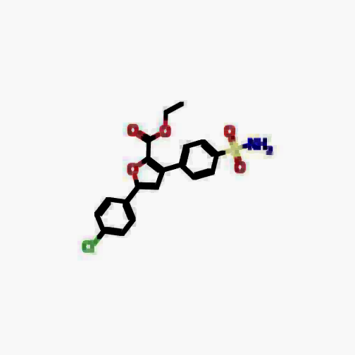 CCOC(=O)c1oc(-c2ccc(Cl)cc2)cc1-c1ccc(S(N)(=O)=O)cc1